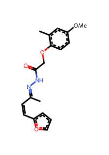 COc1ccc(OCC(=O)N/N=C(C)/C=C\c2ccco2)c(C)c1